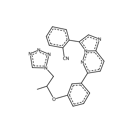 CC(Cn1cnnn1)Oc1cccc(-c2ccc3ncc(-c4ccccc4C#N)n3n2)c1